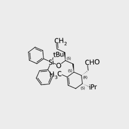 C=CC[C@@H](C[C@@H]1C(C)=CC[C@@H](C(C)C)[C@H]1CC=O)O[Si](c1ccccc1)(c1ccccc1)C(C)(C)C